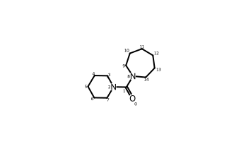 O=C(N1[CH]CCCC1)N1CCCCCC1